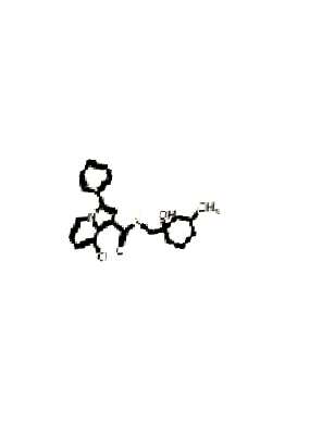 CC1CCCC(O)(CNC(=O)c2cc(-c3ccccc3)n3cccc(Cl)c23)C1